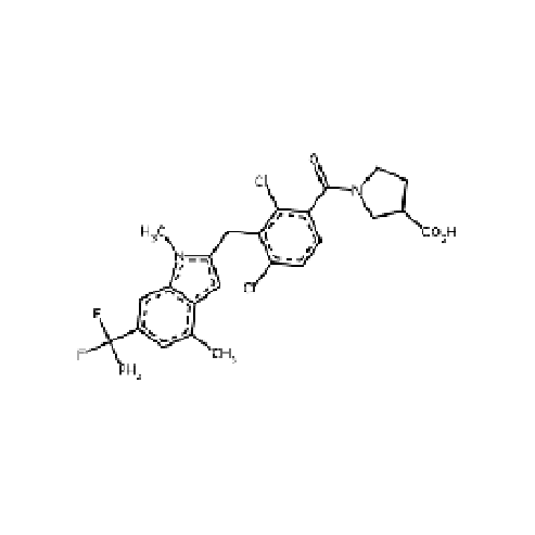 Cc1cc(C(F)(F)P)cc2c1cc(Cc1c(Cl)ccc(C(=O)N3CCC(C(=O)O)C3)c1Cl)n2C